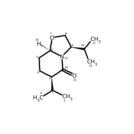 CC(C)[C@H]1CC[C@H]2OC[C@@H](C(C)C)N2C1=O